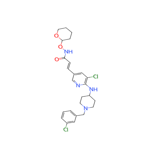 O=C(C=Cc1cnc(NC2CCN(Cc3cccc(Cl)c3)CC2)c(Cl)c1)NOC1CCCCO1